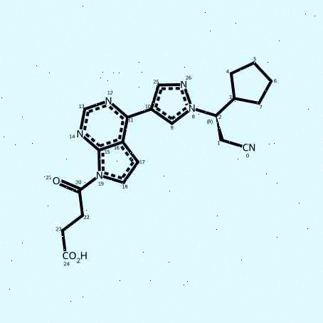 N#CC[C@H](C1CCCC1)n1cc(-c2ncnc3c2ccn3C(=O)CCC(=O)O)cn1